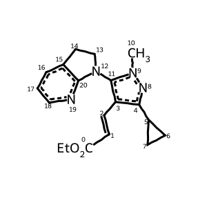 CCOC(=O)/C=C/c1c(C2CC2)nn(C)c1N1CCc2cccnc21